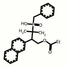 CCC(=O)OCC(c1ccc2ccccc2c1)C(C)(C)P(=O)(O)Cc1ccccc1